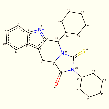 O=C1C2Cc3c([nH]c4ccccc34)C(C3CCCCC3)N2C(=S)N1C1CCCCC1